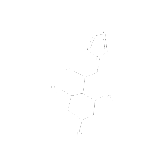 CC1CC(C)C(C(O)Cn2ccnc2)C(C)C1